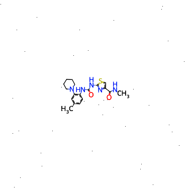 CNC(=O)c1csc(NC(=O)Nc2ccc(C)cc2N2CCCCC2)n1